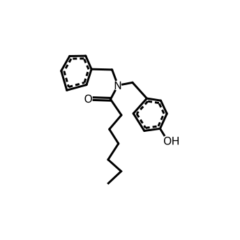 CCCCCCC(=O)N(Cc1ccccc1)Cc1ccc(O)cc1